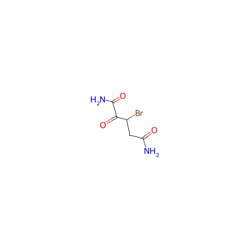 NC(=O)CC(Br)C(=O)C(N)=O